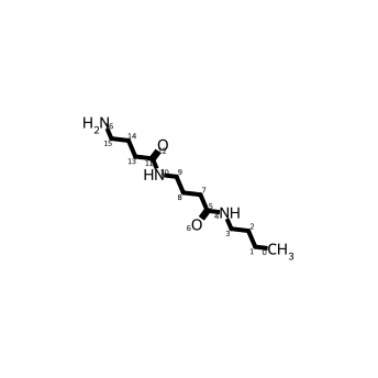 CCCCNC(=O)CCCNC(=O)CCCN